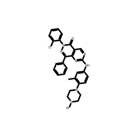 Cc1cc(Nc2ncc3c(=O)n(-c4ccccc4Cl)nc(-c4ccccc4)c3n2)ccc1N1CCN(C(C)C)CC1